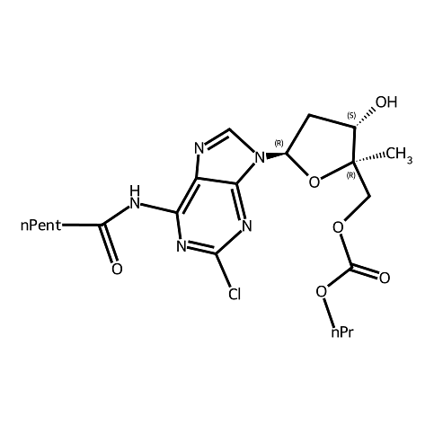 CCCCCC(=O)Nc1nc(Cl)nc2c1ncn2[C@H]1C[C@H](O)[C@@](C)(COC(=O)OCCC)O1